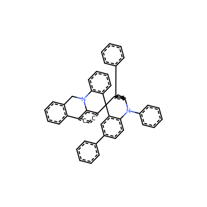 c1ccc(-c2ccc3c(c2)C2(c4ccccc4N4Cc5ccccc5-c5cccc2c54)c2cc(-c4ccccc4)ccc2N3c2ccccc2)cc1